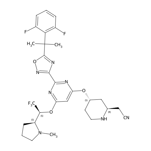 CN1CCC[C@H]1[C@H](Oc1cc(O[C@H]2CCN[C@H](CC#N)C2)nc(-c2noc(C(C)(C)c3c(F)cccc3F)n2)n1)C(F)(F)F